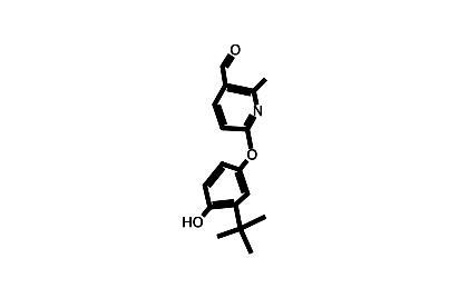 Cc1nc(Oc2ccc(O)c(C(C)(C)C)c2)ccc1C=O